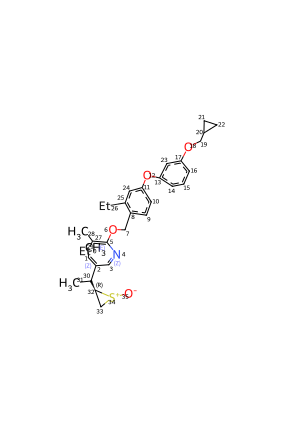 C\C=C(/C=N\C(OCc1ccc(Oc2cccc(OCC3CC3)c2)cc1CC)=C(\C)CC)C(C)[C@@H]1C[S+]1[O-]